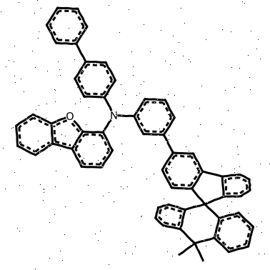 CC1(C)c2ccccc2C2(c3ccccc3-c3cc(-c4cccc(N(c5ccc(-c6ccccc6)cc5)c5cccc6c5oc5ccccc56)c4)ccc32)c2ccccc21